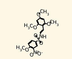 COc1cc(OC)c(C=CNS(=O)(=O)c2ccc(OC)c([N+](=O)[O-])c2)c(OC)c1